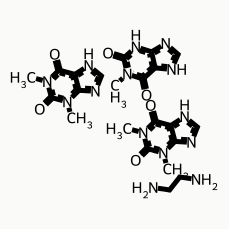 Cn1c(=O)[nH]c2nc[nH]c2c1=O.Cn1c(=O)c2[nH]cnc2n(C)c1=O.Cn1c(=O)c2[nH]cnc2n(C)c1=O.NCCN